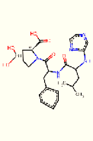 CC(C)CC(Nc1cnccn1)C(=O)NC(Cc1ccccc1)C(=O)N1CCC[C@H]1C(=O)O.OBO